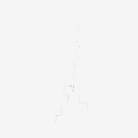 CCCCCCCCCCCCCN1C=CN(CCCCCC)C1CCCC